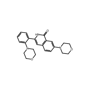 O=c1[nH]c(-c2ccccc2N2CCOCC2)cc2ccc(N3CCOCC3)cc12